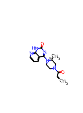 C=CC(=O)N1CCN(c2nc(=O)[nH]c3ncccc23)[C@@H](C)C1